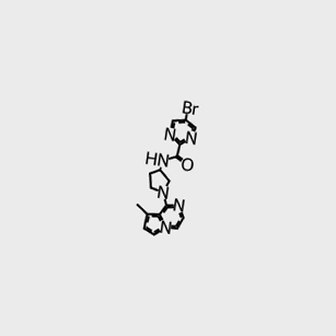 Cc1ccn2ccnc(N3CC[C@H](NC(=O)c4ncc(Br)cn4)C3)c12